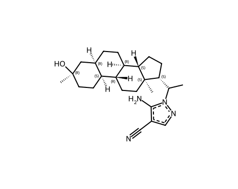 CC([C@H]1CC[C@H]2[C@@H]3CC[C@@H]4C[C@](C)(O)CC[C@@H]4[C@H]3CC[C@]12C)n1ncc(C#N)c1N